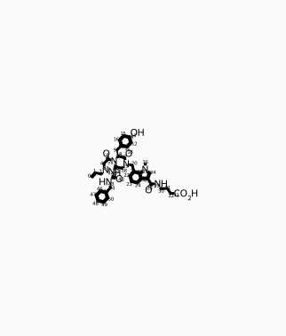 C=CCN1CC(=O)N2[C@@H](Cc3ccc(O)cc3)C(=O)N(Cc3cccc4c(C(=O)NCCCC(=O)O)cn(C)c34)C[C@@H]2N1C(=O)NCc1ccccc1